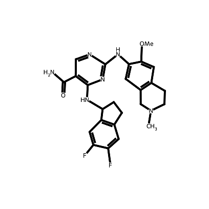 COc1cc2c(cc1Nc1ncc(C(N)=O)c(NC3CCc4cc(F)c(F)cc43)n1)CN(C)CC2